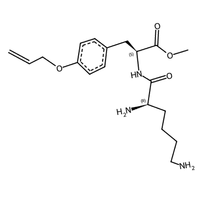 C=CCOc1ccc(C[C@H](NC(=O)[C@H](N)CCCCN)C(=O)OC)cc1